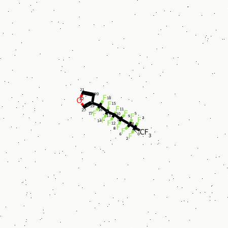 FC(F)(F)C(F)(F)C(F)(F)C(F)(F)C(F)(F)C(F)(F)C(F)(F)c1ccoc1